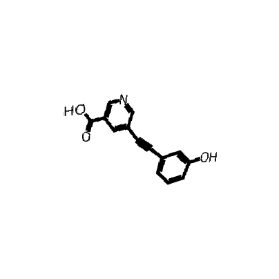 O=C(O)c1cncc(C#Cc2cccc(O)c2)c1